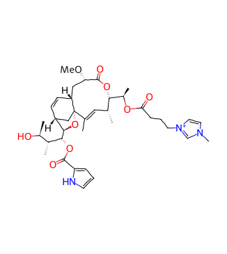 CO[C@H]1C[C@H]2C=C[C@@H]3C[C@]2(O[C@H]3[C@H](OC(=O)c2ccc[nH]2)[C@H](C)[C@H](C)O)/C(C)=C/[C@@H](C)[C@@H]([C@@H](C)OC(=O)CCC[n+]2ccn(C)c2)OC1=O